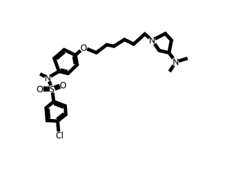 CN(C)C1CCN(CCCCCCOc2ccc(N(C)S(=O)(=O)c3ccc(Cl)cc3)cc2)C1